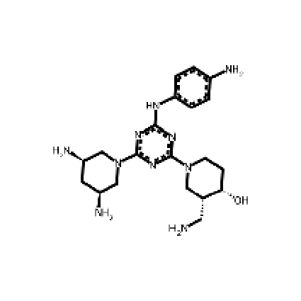 NC[C@@H]1CN(c2nc(Nc3ccc(N)cc3)nc(N3C[C@H](N)C[C@H](N)C3)n2)CC[C@@H]1O